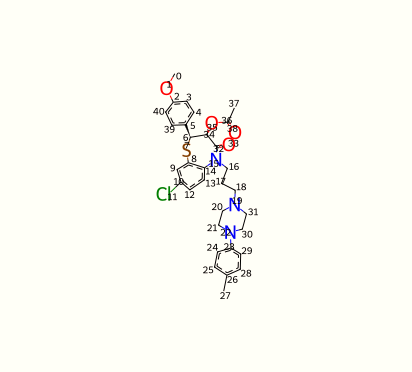 COc1ccc([C@@H]2Sc3cc(Cl)ccc3N(CCCN3CCN(c4ccc(C)cc4)CC3)C(=O)[C@@H]2OC(C)=O)cc1